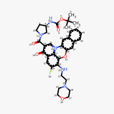 CC(C)(C)OC(=O)N[C@@H]1CCN(C(=O)c2cn3c4c(c(NCCN5CCOCC5)c(F)cc4c2=O)Oc2cc4ccccc4cc2-3)C1